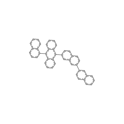 c1ccc2cc(-c3ccc4ccc(-c5c6ccccc6c(-c6cccc7ccccc67)c6ccccc56)cc4c3)ccc2c1